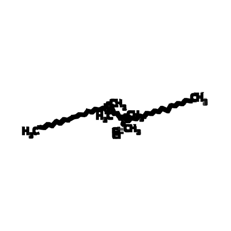 CCCCCCCCCCCCCCCCCC[N+](CC)(CC)CCCC[N+](CC)(CC)CCCCCCCCCCCCCCCCCC.[Cl-].[Cl-]